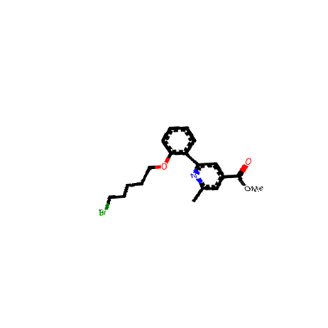 COC(=O)c1cc(C)nc(-c2ccccc2OCCCCCBr)c1